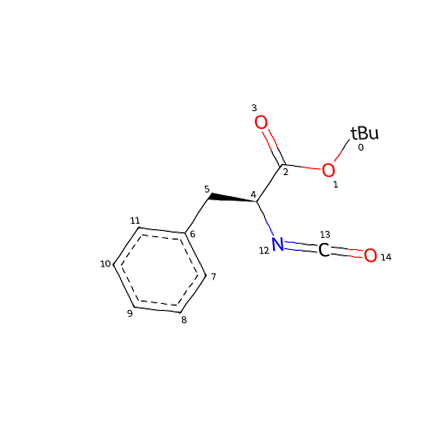 CC(C)(C)OC(=O)[C@H](Cc1ccccc1)N=C=O